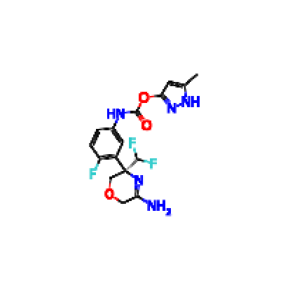 Cc1cc(OC(=O)Nc2ccc(F)c([C@]3(C(F)F)COCC(N)=N3)c2)n[nH]1